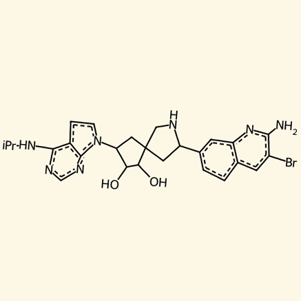 CC(C)Nc1ncnc2c1ccn2C1CC2(CNC(c3ccc4cc(Br)c(N)nc4c3)C2)C(O)C1O